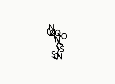 O=C1OC2(CN3CCC2CC3)CN1c1csc(-c2nccs2)c1